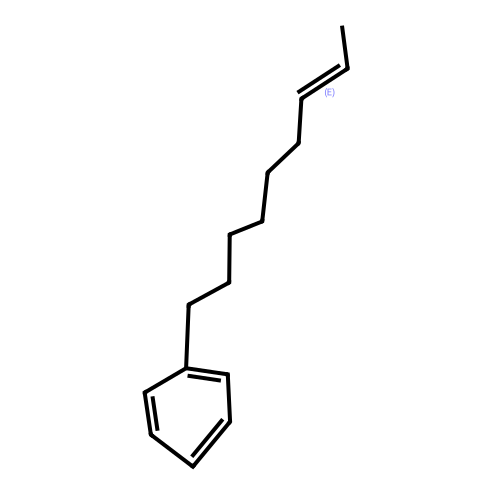 C/C=C/CCCCCCc1ccccc1